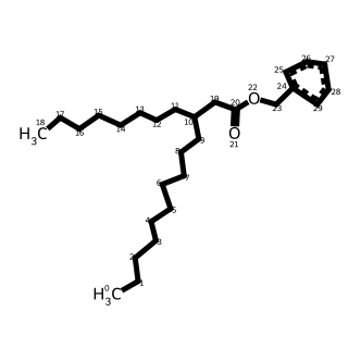 CCCCCCCCCCC(CCCCCCCC)CC(=O)OCc1ccccc1